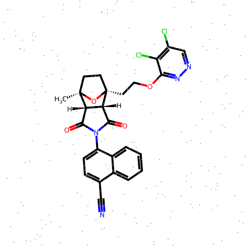 C[C@]12CC[C@](CCOc3nncc(Cl)c3Cl)(O1)[C@@H]1C(=O)N(c3ccc(C#N)c4ccccc34)C(=O)[C@@H]12